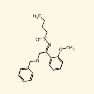 CCCC[S@@+]([O-])/N=C(\COCc1ccccc1)c1ccccc1OC